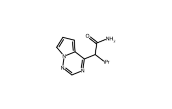 CC(C)C(C(N)=O)c1ncnn2cccc12